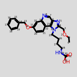 CCOCc1nc2cnc3cc(OCc4ccccc4)ccc3c2n1CCCCNC(=O)O